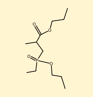 CCCOC(=O)C(C)CP(=O)(CC)OCCC